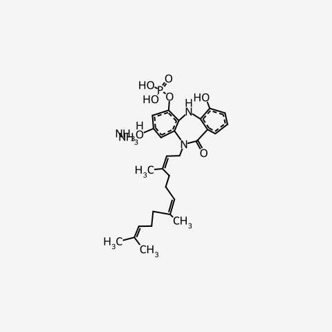 CC(C)=CCCC(C)=CCCC(C)=CCN1C(=O)c2cccc(O)c2Nc2c(OP(=O)(O)O)cc(O)cc21.N.N